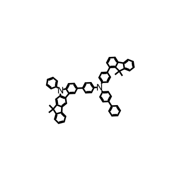 CC1(C)c2ccccc2-c2cc3c4cc(-c5ccc(N(c6ccc(-c7ccccc7)cc6)c6ccc(-c7cccc8c7C(C)(C)c7ccccc7-8)cc6)cc5)ccc4n(-c4ccccc4)c3cc21